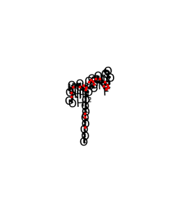 CC[C@@]1(OC(=O)OCc2ccc(NC(=O)[C@H](C)NC(=O)[C@@H](NC(=O)[C@@H](N)CCC(=O)O)C(C)C)cc2C(=O)NCCOCCOCCOCCOCCOCCOCCOCCOC)C(=O)OCc2c1cc1n(c2=O)Cc2c-1nc1cc(F)c(C)c3c1c2[C@@H](NC(=O)C1COC(C)(C)O1)CC3